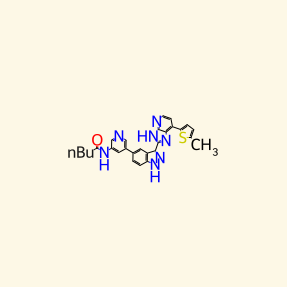 CCCCC(=O)Nc1cncc(-c2ccc3[nH]nc(-c4nc5c(-c6ccc(C)s6)ccnc5[nH]4)c3c2)c1